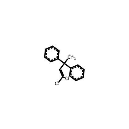 CC(C=C(Cl)Cl)(c1ccccc1)c1ccccc1